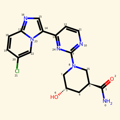 NC(=O)[C@H]1C[C@H](O)CN(c2nccc(-c3cnc4ccc(Cl)cn34)n2)C1